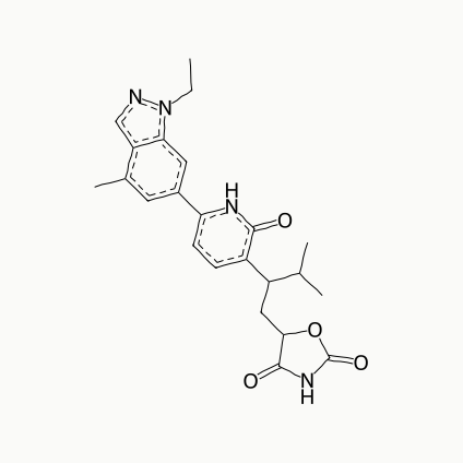 CCn1ncc2c(C)cc(-c3ccc(C(CC4OC(=O)NC4=O)C(C)C)c(=O)[nH]3)cc21